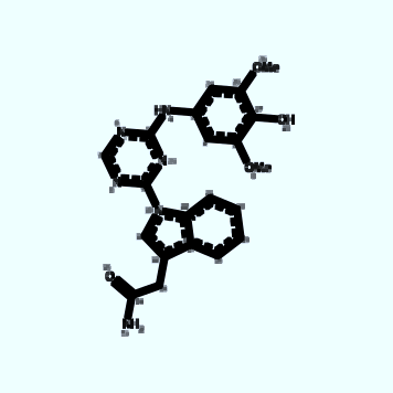 COc1cc(Nc2ncnc(-n3cc(CC(N)=O)c4ccccc43)n2)cc(OC)c1O